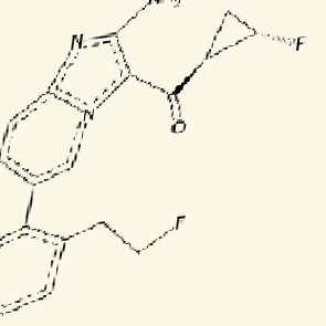 Nc1nc2ccc(-c3ccccc3CCF)cn2c1C(=O)[C@H]1C[C@@H]1F